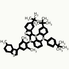 Cc1cc(-c2csc3c2CC(C)C=C3)cc(C)c1N1c2cccc3c2B(c2cc(C(C)(C)C)ccc2N3c2ccc(C(C)(C)C)cc2)c2c1sc1ccc(C(C)(C)C)cc21